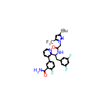 CC(C)(C)c1cc(C(F)(F)F)n(CC(=O)NC(Cc2cc(F)cc(F)c2)c2ncccc2-c2ccc(F)c(C(N)=O)c2)n1